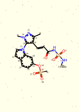 CCCCNS(=O)(=O)NC(=O)C=Cc1c(C)nn(C)c1-n1ccc2ccc(OS(C)(=O)=O)cc21